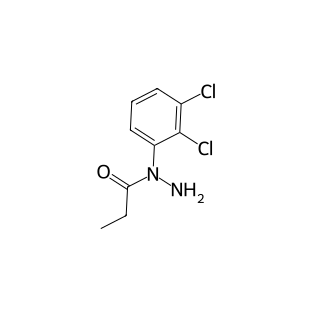 CCC(=O)N(N)c1cccc(Cl)c1Cl